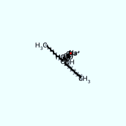 CCCCCCCCCCCCOCCCCCCCCCCCC.O=S(=O)([O-])[O-].OCCO.[Na+].[Na+]